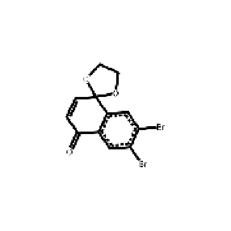 O=C1C=CC2(OCCO2)c2cc(Br)c(Br)cc21